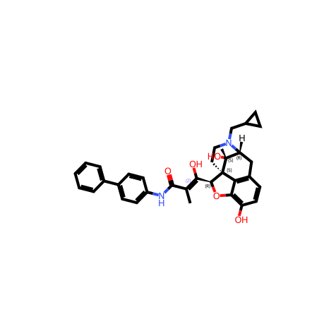 C/C(C(=O)Nc1ccc(-c2ccccc2)cc1)=C(/O)[C@@H]1Oc2c(O)ccc3c2[C@@]12CCN(CC1CC1)[C@H](C3)[C@@]2(C)O